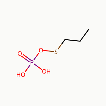 CCCSOP(=O)(O)O